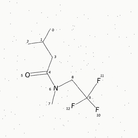 CC(C)CC(=O)N(C)CC(F)(F)F